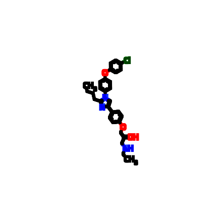 CCCCc1nc(-c2ccc(OC[C@@H](O)CNCC)cc2)cn1-c1ccc(Oc2ccc(Cl)cc2)cc1